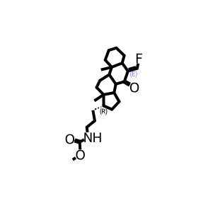 COC(=O)NCCC[C@H]1CCC2C3C(=O)/C(=C/F)C4CCCCC4(C)C3CCC21C